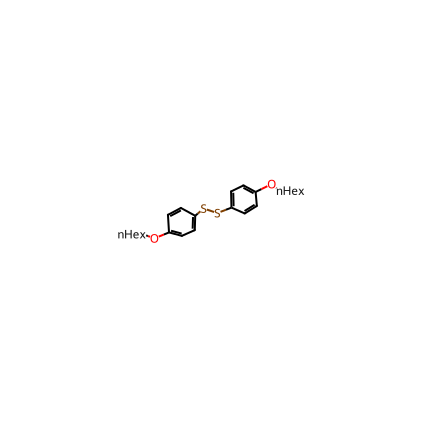 CCCCCCOc1ccc(SSc2ccc(OCCCCCC)cc2)cc1